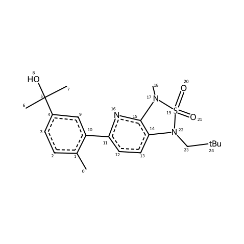 Cc1ccc(C(C)(C)O)cc1-c1ccc2c(n1)N(C)S(=O)(=O)N2CC(C)(C)C